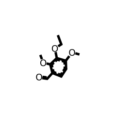 CCOc1c(OC)ccc(C=O)c1OC